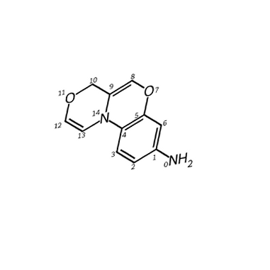 Nc1ccc2c(c1)OC=C1COC=CN12